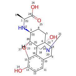 C[C@H](N[C@H]1CC[C@@]2(O)C3Cc4ccc(O)c5c4[C@@]2(CCN3C)[C@H]1O5)C(=O)O